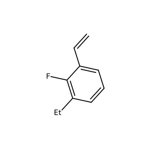 C=Cc1cccc(CC)c1F